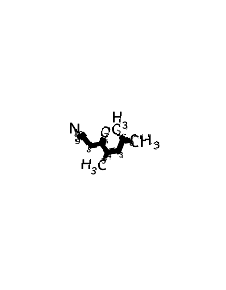 CC(C)CC(C)C(=O)CC#N